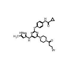 Cc1cc(Nc2cc(N3CCN(C(=O)CCC(C)C)CC3)nc(Sc3ccc(NC(=O)C4CC4)cc3)n2)n[nH]1